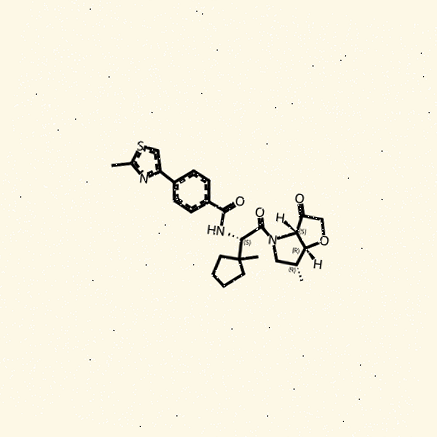 Cc1nc(-c2ccc(C(=O)N[C@H](C(=O)N3C[C@@H](C)[C@H]4OCC(=O)[C@H]43)C3(C)CCCC3)cc2)cs1